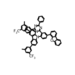 Cc1cc(-c2ccc3c(c2)c2cc(-c4cc(C)cc(C(F)(F)F)c4)ccc2n3-c2ccc(-c3cccc4c3oc3ccccc34)cc2-c2nc(-c3ccccc3)nc(-c3ccccc3)n2)cc(C(F)(F)F)c1